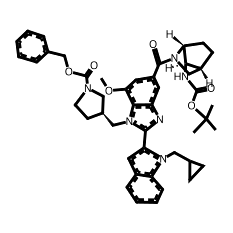 COc1cc(C(=O)N2C[C@H]3CC[C@@H]2[C@@H]3NC(=O)OC(C)(C)C)cc2nc(-c3cc4ccccc4n3CC3CC3)n(C[C@H]3CCN(C(=O)OCc4ccccc4)C3)c12